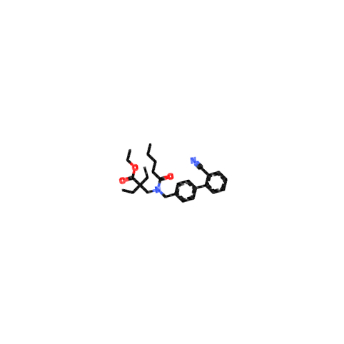 CCCCC(=O)N(Cc1ccc(-c2ccccc2C#N)cc1)CC(CC)(CC)C(=O)OCC